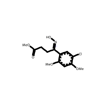 COC(=O)CC/C(=N\O)c1cc(Cl)c(OC)cc1OC